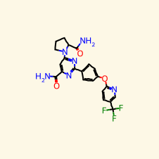 NC(=O)c1cc(N2CCCC2C(N)=O)nc(-c2ccc(Oc3ccc(C(F)(F)F)cn3)cc2)n1